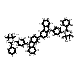 CC1(C)N=C(c2ccccc2)N(c2ccc(-n3c4ccccc4c4cc(-c5ccc6c(c5)c5ccccc5n6-c5ccc(N6C(c7ccccc7)=NC(C)(C)C6(C)C)nc5)ccc43)cn2)C1(C)C